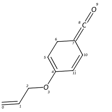 C=CCOC1=CCC(=C=O)C=[C]1